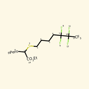 CCCCCC(SCCCCC(F)(F)C(F)(F)C(F)(F)F)C(=O)OCC